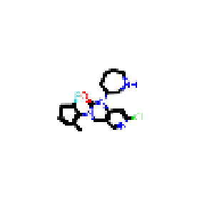 Cc1cccc(F)c1N1Cc2cnc(Cl)cc2N([C@H]2CCCCNC2)C1=O